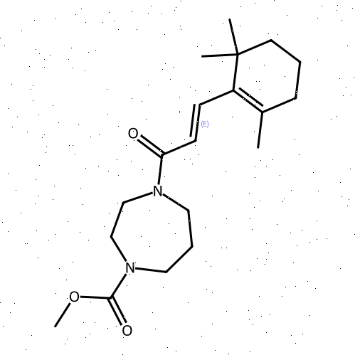 COC(=O)N1CCCN(C(=O)/C=C/C2=C(C)CCCC2(C)C)CC1